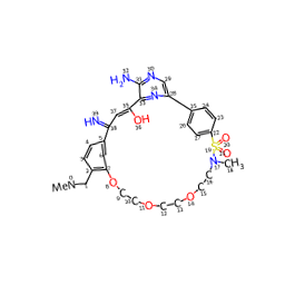 CNCc1ccc2cc1OCCOCCOCCN(C)S(=O)(=O)c1ccc(cc1)-c1cnc(N)c(n1)/C(O)=C/C2=N